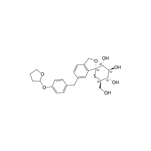 OC[C@H]1S[C@]2(OCc3ccc(Cc4ccc(OC5CCCO5)cc4)cc32)[C@H](O)[C@@H](O)[C@@H]1O